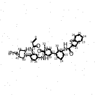 C=CC(=O)Nc1cc(Nc2cc(-c3cccc(NC(=O)c4cc5ccccc5s4)c3C)cn(C)c2=O)ccc1N1CCN(C(C)C)CC1